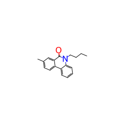 CCCCn1c(=O)c2cc(C)ccc2c2ccccc21